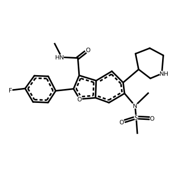 CNC(=O)c1c(-c2ccc(F)cc2)oc2cc(N(C)S(C)(=O)=O)c(C3CCCNC3)cc12